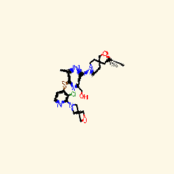 Cc1nc(N2CCC3(CC2)CO[C@@H](C)C3)c(CO)nc1Sc1ccnc(N2CC3(COC3)C2)c1Cl